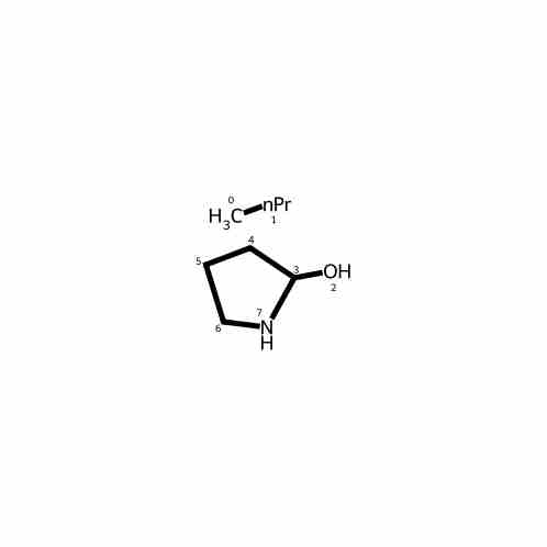 CCCC.OC1CCCN1